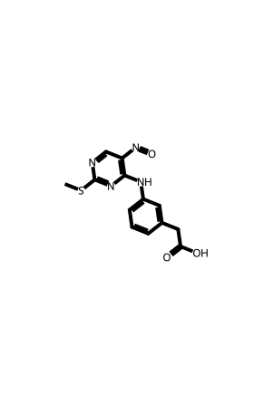 CSc1ncc(N=O)c(Nc2cccc(CC(=O)O)c2)n1